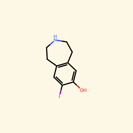 Oc1cc2c(cc1I)CCNCC2